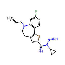 C=CCN1CCc2cc(C(=N)N(N=N)C3CC3)sc2-c2ccc(F)cc21